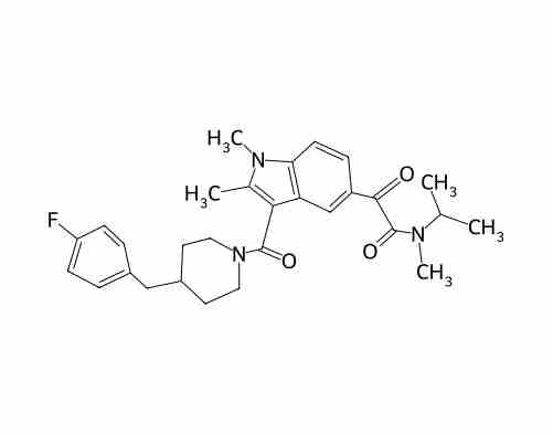 Cc1c(C(=O)N2CCC(Cc3ccc(F)cc3)CC2)c2cc(C(=O)C(=O)N(C)C(C)C)ccc2n1C